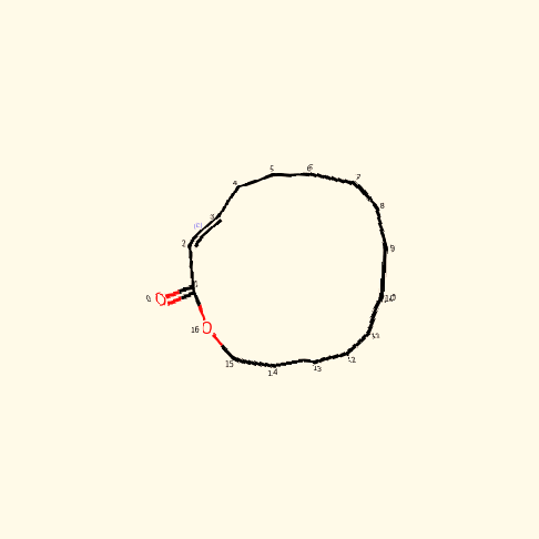 O=C1/C=C/CCCCCCCCCCCCO1